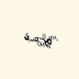 COc1ccc2nccc(C(O)CC[C@@H]3CCN(CCSc4ccsc4)C[C@@H]3CO)c2c1